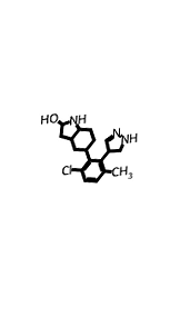 Cc1ccc(Cl)c(C2CCC3NC(O)CC3C2)c1C1C=NNC1